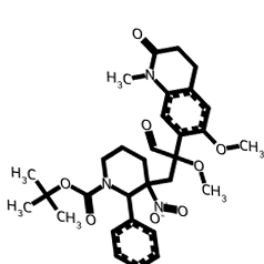 COc1cc2c(cc1C(C=O)(CC1([N+](=O)[O-])CCCN(C(=O)OC(C)(C)C)C1c1ccccc1)OC)N(C)C(=O)CC2